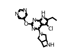 CCc1[nH]c2nc(Oc3cncnc3)nc(N3CC4CNC4C3)c2c1Cl